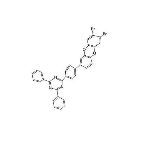 Brc1cc2c(cc1Br)Oc1cc(-c3ccc(-c4nc(-c5ccccc5)nc(-c5ccccc5)n4)cc3)ccc1O2